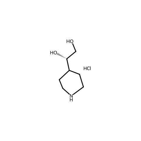 Cl.OC[C@@H](O)C1CCNCC1